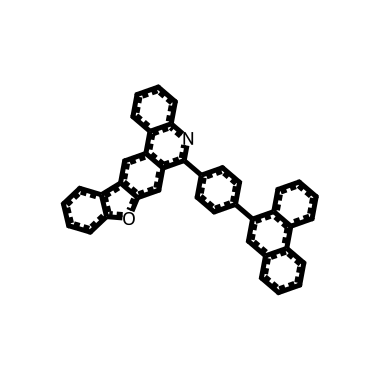 c1ccc2c(c1)cc(-c1ccc(-c3nc4ccccc4c4cc5c(cc34)oc3ccccc35)cc1)c1ccccc12